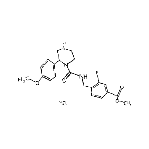 COC(=O)c1ccc(CNC(=O)N2CCNCC2c2ccc(OC)cc2)c(F)c1.Cl